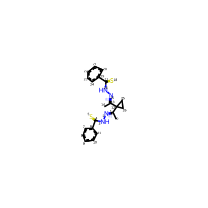 C/C(=N\NC(=S)c1ccccc1)C1(/C(C)=N/NC(=S)c2ccccc2)CC1